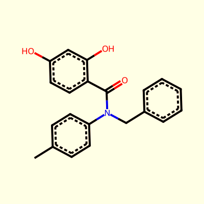 Cc1ccc(N(Cc2ccccc2)C(=O)c2ccc(O)cc2O)cc1